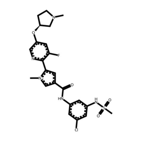 CN1CC[C@H](Oc2cnc(-c3cc(C(=O)Nc4cc(Cl)cc(NS(C)(=O)=O)c4)cn3C)c(F)c2)C1